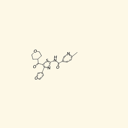 Cc1ccc(C(=O)Nc2nc(-c3ccoc3)c(C(=O)C3CCOCC3)s2)cn1